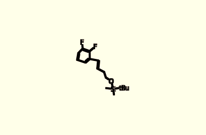 CC(C)(C)[Si](C)(C)OCCC=Cc1cccc(F)c1F